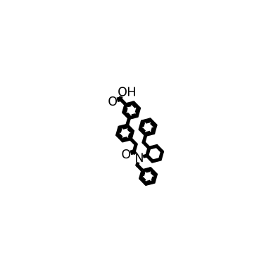 O=C(O)c1cccc(-c2cccc(CC(=O)N(Cc3ccccc3)C3CCCCC3Cc3ccccc3)c2)c1